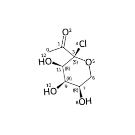 CC(=O)[C@]1(Cl)OC[C@@H](O)[C@@H](O)[C@H]1O